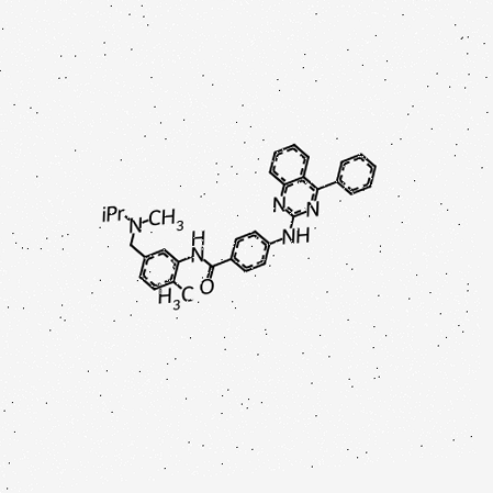 Cc1ccc(CN(C)C(C)C)cc1NC(=O)c1ccc(Nc2nc(-c3ccccc3)c3ccccc3n2)cc1